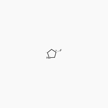 F[C@H]1C[CH]NC1